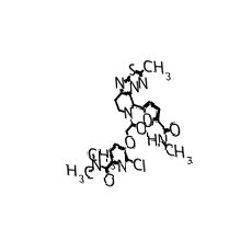 CNC(=O)c1ccc(C2c3c(nc4sc(C)nn34)CCN2C(=O)COc2ccc(C(=O)N(C)C)nc2Cl)o1